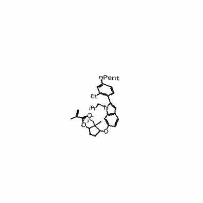 C=C(C)C(=O)OC1CCC(Oc2ccc3cc(-c4ccc(CCCCC)cc4CC)n(CC(C)C)c3c2)C1(C)C(F)(F)F